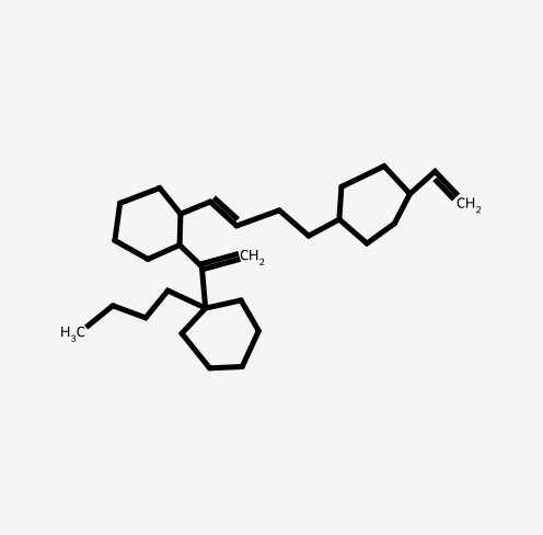 C=CC1CCC(CC/C=C/C2CCCCC2C(=C)C2(CCCC)CCCCC2)CC1